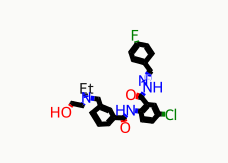 CCN(CCO)Cc1cccc(C(=O)Nc2ccc(Cl)cc2C(=O)N/N=C/c2ccc(F)cc2)c1